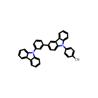 N#Cc1ccc(-n2c3ccccc3c3cc(-c4cccc(-n5c6ccccc6c6ccccc65)c4)ccc32)cc1